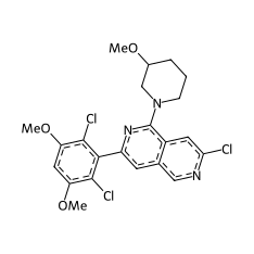 COc1cc(OC)c(Cl)c(-c2cc3cnc(Cl)cc3c(N3CCCC(OC)C3)n2)c1Cl